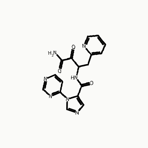 NC(=O)C(=O)C(Cc1ccccn1)NC(=O)c1cncn1-c1ccncn1